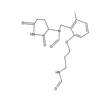 Cc1cccc(OCCCNC=O)c1CN(C=O)C1CCC(=O)NC1=O